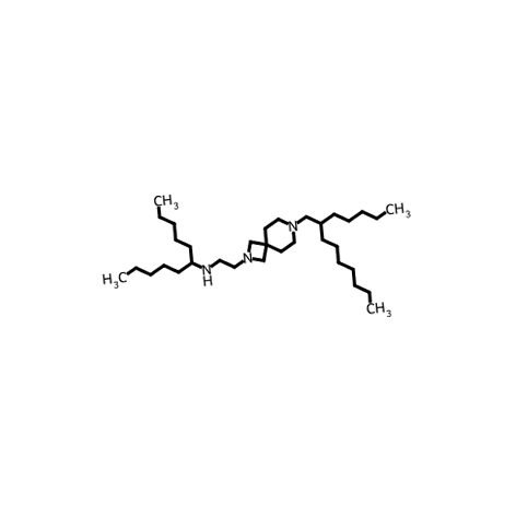 CCCCCCCC(CCCCC)CN1CCC2(CC1)CN(CCNC(CCCCC)CCCCC)C2